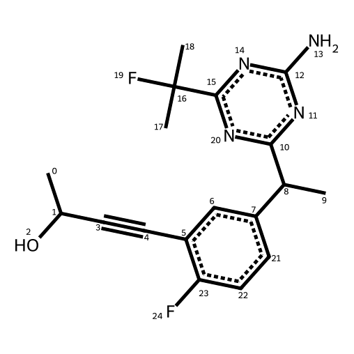 CC(O)C#Cc1cc(C(C)c2nc(N)nc(C(C)(C)F)n2)ccc1F